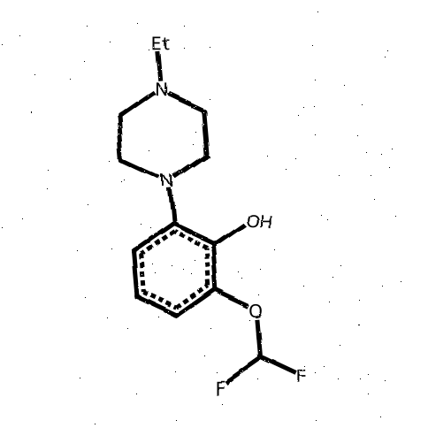 CCN1CCN(c2cccc(OC(F)F)c2O)CC1